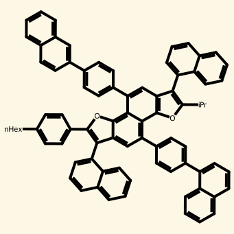 CCCCCCc1ccc(-c2oc3c(cc(-c4ccc(-c5cccc6ccccc56)cc4)c4c5oc(C(C)C)c(-c6cccc7ccccc67)c5cc(-c5ccc(-c6ccc7ccccc7c6)cc5)c34)c2-c2cccc3ccccc23)cc1